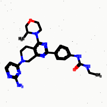 CCNC(=O)Nc1ccc(-c2nc3c(c(N4CCOCC4C)n2)CCN(c2ccnc(N)n2)C3)cc1